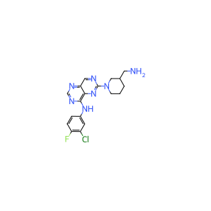 NCC1CCCN(c2ncc3ncnc(Nc4ccc(F)c(Cl)c4)c3n2)C1